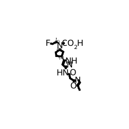 Cc1cnc(CC(=O)Nc2cc([C@H]3CC[C@@H](N(C(=O)O)[C@@H](C)CF)C3)[nH]n2)o1